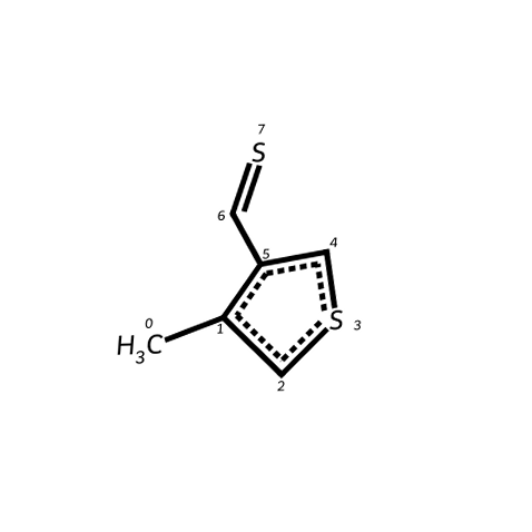 Cc1cscc1C=S